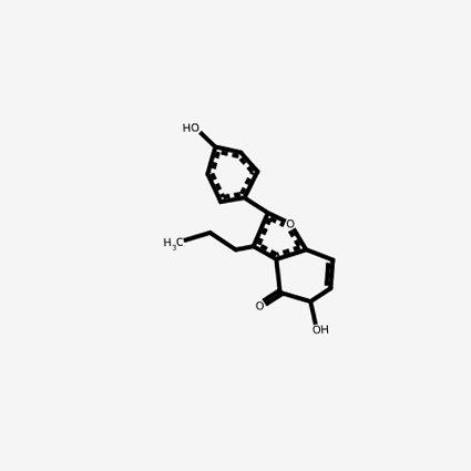 CCCc1c(-c2ccc(O)cc2)oc2c1C(=O)C(O)C=C2